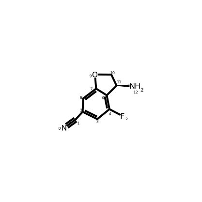 N#Cc1cc(F)c2c(c1)OC[C@H]2N